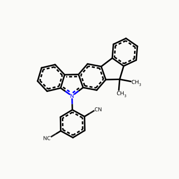 CC1(C)c2ccccc2-c2cc3c4ccccc4n(-c4cc(C#N)ccc4C#N)c3cc21